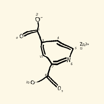 O=C([O-])c1ccnc(C(=O)[O-])c1.[Zn+2]